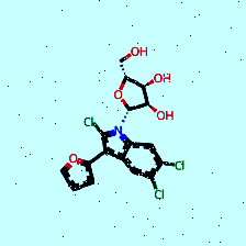 OC[C@H]1O[C@@H](n2c(Cl)c(-c3ccco3)c3cc(Cl)c(Cl)cc32)[C@H](O)[C@@H]1O